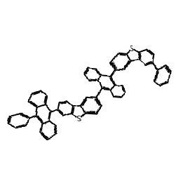 c1ccc(-c2ccc3sc4ccc(-c5c6ccccc6c(-c6ccc7sc8cc(-c9c%10ccccc%10c(-c%10ccccc%10)c%10ccccc9%10)ccc8c7c6)c6ccccc56)cc4c3c2)cc1